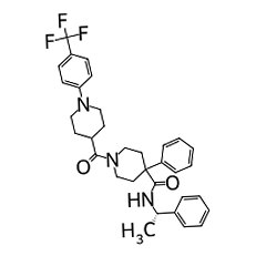 C[C@H](NC(=O)C1(c2ccccc2)CCN(C(=O)C2CCN(c3ccc(C(F)(F)F)cc3)CC2)CC1)c1ccccc1